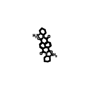 N[C@H]1CCCC[C@@H]1N1C(=O)c2ccc3c4c(ccc(c24)C1=O)C(=O)N([C@H]1CCCC[C@@H]1N)C3=O